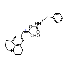 O=C/C(=C\c1cc2c3c(c1)CCCN3CCC2)OC(=O)NCCc1ccccc1